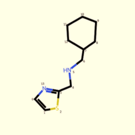 c1csc(CNCC2CCCCC2)n1